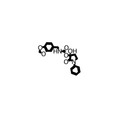 O=C(NCc1ccc2c(c1)OCO2)O[C@@]1(O)CCN(c2ccccc2)C1=O